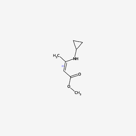 COC(=O)/C=C(/C)NC1CC1